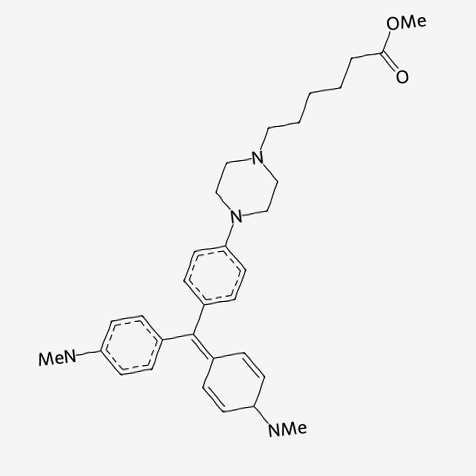 CNc1ccc(C(=C2C=CC(NC)C=C2)c2ccc(N3CCN(CCCCCC(=O)OC)CC3)cc2)cc1